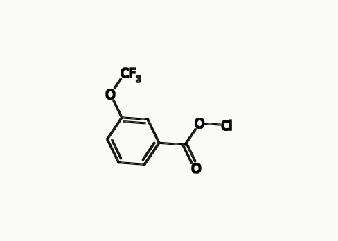 O=C(OCl)c1cccc(OC(F)(F)F)c1